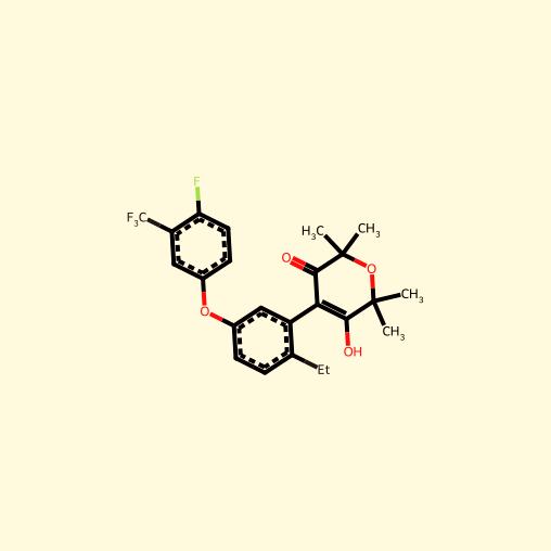 CCc1ccc(Oc2ccc(F)c(C(F)(F)F)c2)cc1C1=C(O)C(C)(C)OC(C)(C)C1=O